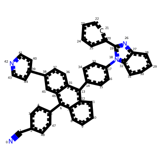 N#Cc1ccc(-c2c3ccccc3c(-c3ccc(-n4c(-c5ccccc5)nc5ccccc54)cc3)c3ccc(-c4ccncc4)cc23)cc1